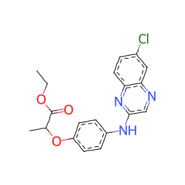 CCOC(=O)C(C)Oc1ccc(Nc2cnc3cc(Cl)ccc3n2)cc1